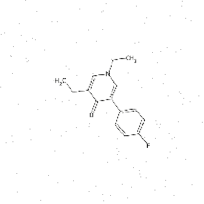 [CH2]Cc1cn(CC)cc(-c2ccc(F)cc2)c1=O